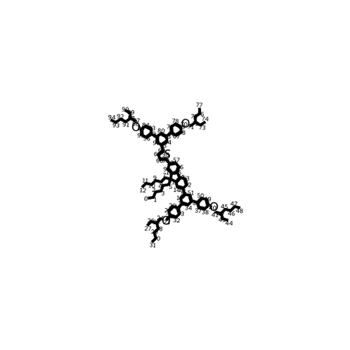 CCCCCCC1(CCCCCC)c2cc(-c3cc(-c4ccc(OCC(CC)CCCC)cc4)cc(-c4ccc(OCC(CC)CCCC)cc4)c3)ccc2-c2ccc(-c3ccc(-c4cc(-c5ccc(OCC(CC)CCC)cc5)cc(-c5ccc(OCC(CC)CCCC)cc5)c4)s3)cc21